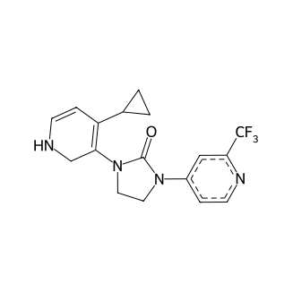 O=C1N(C2=C(C3CC3)C=CNC2)CCN1c1ccnc(C(F)(F)F)c1